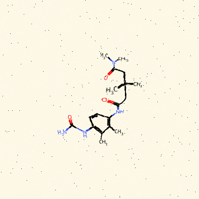 Cc1c(NC(N)=O)ccc(NC(=O)CC(C)(C)CC(=O)N(C)C)c1C